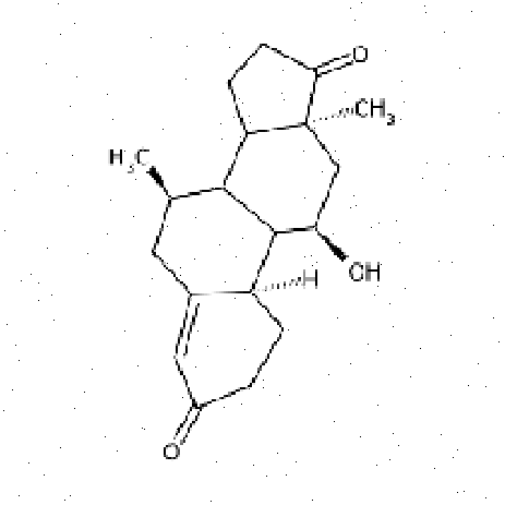 C[C@@H]1CC2=CC(=O)CC[C@@H]2C2C1C1CCC(=O)[C@@]1(C)C[C@H]2O